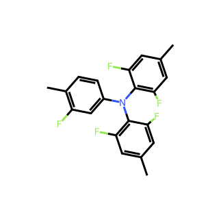 Cc1cc(F)c(N(c2ccc(C)c(F)c2)c2c(F)cc(C)cc2F)c(F)c1